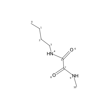 CCCCNC(=O)C(=O)NC